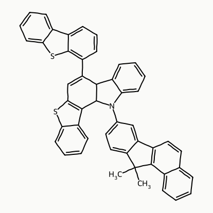 CC1(C)c2ccc(N3c4ccccc4C4C(c5cccc6c5sc5ccccc56)=Cc5sc6ccccc6c5C43)cc2-c2ccc3ccccc3c21